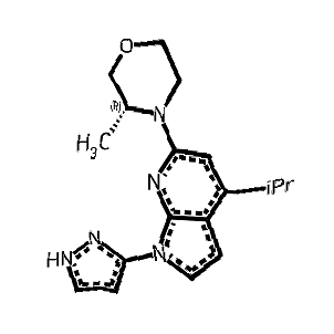 CC(C)c1cc(N2CCOC[C@H]2C)nc2c1ccn2-c1cc[nH]n1